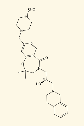 CC1(C)CN(C[C@H](O)CN2CCc3ccccc3C2)C(=O)c2ccc(CN3CCN(C=O)CC3)cc2O1